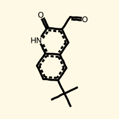 CC(C)(C)c1ccc2[nH]c(=O)c(C=O)cc2c1